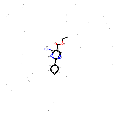 CCOC(=O)c1[c]nc(-c2ccccc2)nc1N